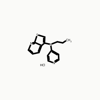 CCCN(c1ccncc1)c1csc2ncccc12.Cl